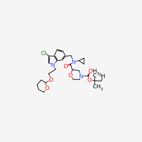 [2H]CC(C)(C)OC(=O)N1CCOC(C(=O)N(Cc2ccc3c(Cl)cn(CCOC4CCCCO4)c3c2)C2CC2)C1